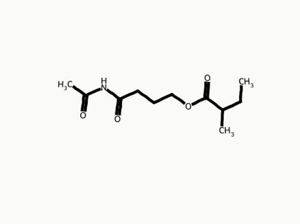 CCC(C)C(=O)OCCCC(=O)NC(C)=O